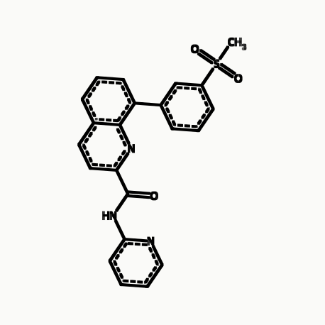 CS(=O)(=O)c1cccc(-c2cccc3ccc(C(=O)Nc4ccccn4)nc23)c1